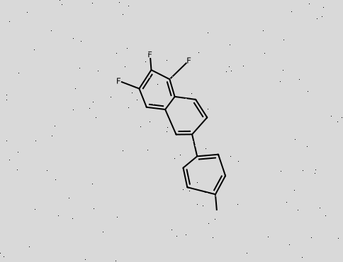 Cc1ccc(-c2ccc3c(F)c(F)c(F)cc3c2)cc1